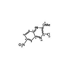 COc1nc2ccc([N+](=O)[O-])cc2nc1Cl